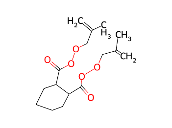 C=C(C)COOC(=O)C1CCCCC1C(=O)OOCC(=C)C